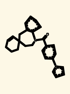 O=C(c1ccc(-n2cccc2)cc1)N1CCC2(C=CCCC2)Cc2ccccc21